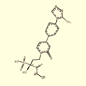 Cc1nncn1-c1ccc(-c2ccn(CC[C@](C)(C(=O)NO)S(C)(=O)=O)c(=O)c2)cc1